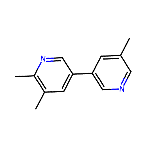 Cc1cncc(-c2cnc(C)c(C)c2)c1